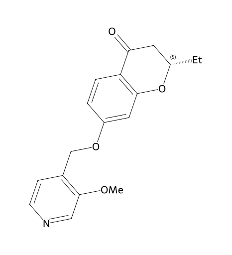 CC[C@H]1CC(=O)c2ccc(OCc3ccncc3OC)cc2O1